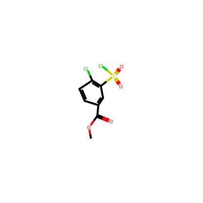 COC(=O)c1ccc(Cl)c(S(=O)(=O)Cl)c1